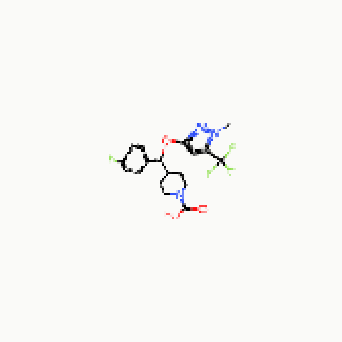 Cn1nc(OC(c2ccc(F)cc2)C2CCN(C(=O)O)CC2)cc1C(F)(F)F